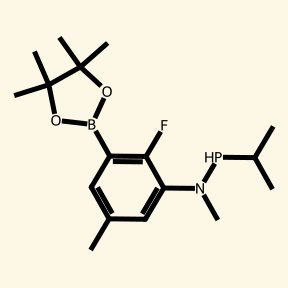 Cc1cc(B2OC(C)(C)C(C)(C)O2)c(F)c(N(C)PC(C)C)c1